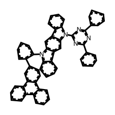 c1ccc(-c2nc(-c3ccccc3)nc(-n3c4ccccc4c4cc5c(cc43)c3ccccc3n5-c3ccccc3-c3ccc4c5ccccc5c5ccccc5c4c3)n2)cc1